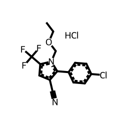 CCOCn1c(C(F)(F)F)cc(C#N)c1-c1ccc(Cl)cc1.Cl